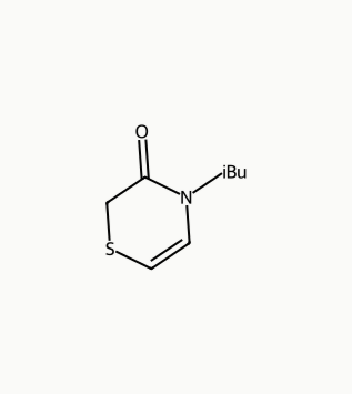 CCC(C)N1C=CSCC1=O